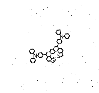 c1ccc(N(c2ccccc2)c2ccc(-c3cc4cc5cc(-c6ccc(N(c7ccccc7)c7ccccc7)cc6)c6ccc7ccsc7c6c5cc4c4c3ccc3ccsc34)cc2)cc1